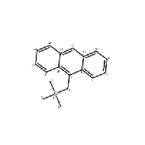 CS(C)(C)Cc1c2ccccc2cc2ccccc12